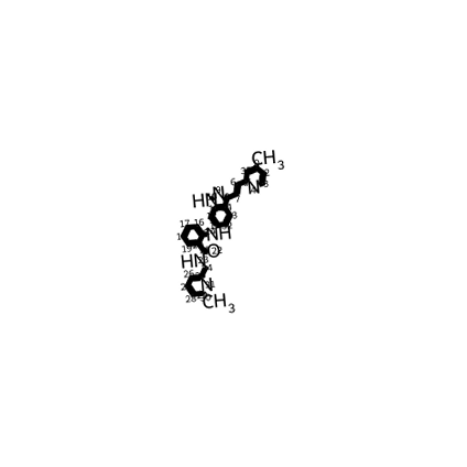 Cc1ccnc(C=Cc2n[nH]c3cc(Nc4ccccc4C(=O)NCc4cccc(C)n4)ccc23)c1